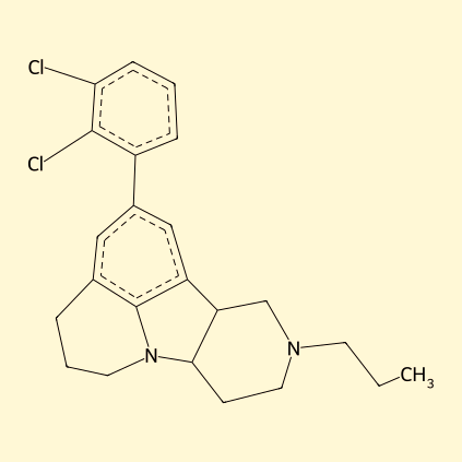 CCCN1CCC2C(C1)c1cc(-c3cccc(Cl)c3Cl)cc3c1N2CCC3